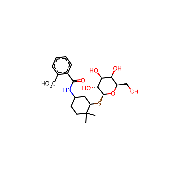 CC1(C)CCC(NC(=O)c2ccccc2C(=O)O)CC1S[C@@H]1O[C@H](CO)[C@H](O)[C@H](O)[C@H]1O